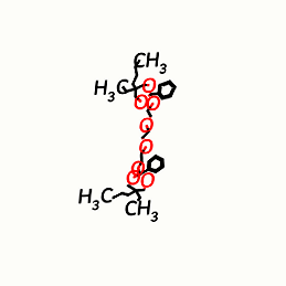 CCCCC1(CC)COC(OCCOCCOCCOC2(c3ccccc3)OCC(CC)(CCCC)CO2)(c2ccccc2)OC1